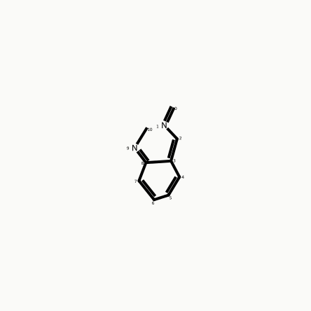 C=N/C=C1/C=CC=C/C1=N/C